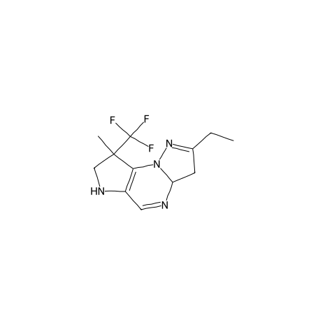 CCC1=NN2C3=C(C=NC2C1)NCC3(C)C(F)(F)F